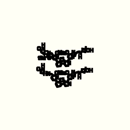 COc1nc(-c2cccc(-c3ccnc(-c4cc(OC)c5nc(CNC6CC(C)(O)C6)cn5c4)c3Cl)c2Cl)ccc1CN(C[C@@H]1CCC(=O)N1)C(=O)OC(C)(C)C.COc1nc(-c2cccc(-c3ccnc(-c4cc(OC)c5nc(CNC6CC(C)(O)C6)cn5c4)c3Cl)c2Cl)ccc1CNC[C@@H]1CCC(=O)N1